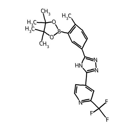 Cc1ccc(-c2nnc(-c3ccnc(C(F)(F)F)c3)[nH]2)cc1B1OC(C)(C)C(C)(C)O1